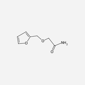 NC(=O)COCc1ccco1